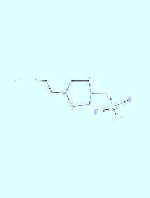 CCOC(=O)CCC1CCC(O[Si](C(C)C)(C(C)C)C(C)C)CC1